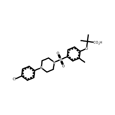 Cc1cc(S(=O)(=O)N2CCN(c3ccc(Cl)cc3)CC2)ccc1OC(C)(C)C(=O)O